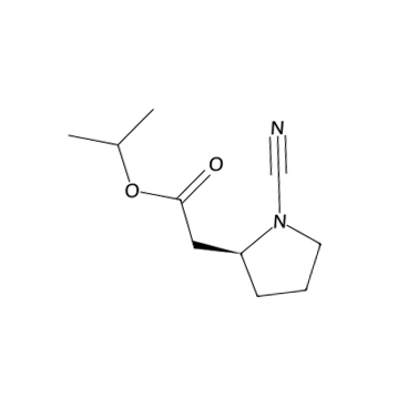 CC(C)OC(=O)C[C@@H]1CCCN1C#N